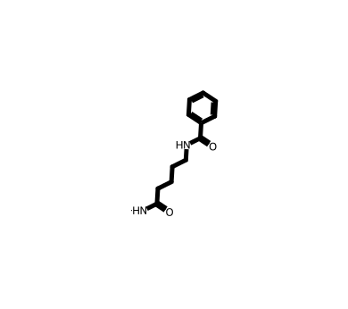 [NH]C(=O)CCCCNC(=O)c1ccccc1